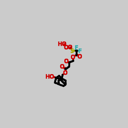 O=C(COC(=O)C(F)(F)SOOO)CC(=O)OCC12CC3CC(CC(O)(C3)C1)C2